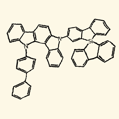 c1ccc(-c2ccc(-n3c4ccccc4c4ccc5c(c6ccccc6n5-c5ccc6c(c5)[Si]5(c7ccccc7-c7ccccc75)c5ccccc5-6)c43)cc2)cc1